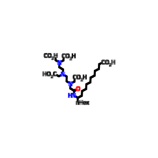 CCCCCCC(CCCCCCCCCCC(=O)O)NC(=O)CN(CCN(CCN(CC(=O)O)CC(=O)O)CC(=O)O)CC(=O)O